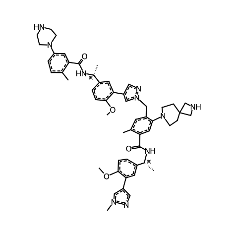 COc1ccc([C@@H](C)NC(=O)c2cc(N3CCNCC3)ccc2C)cc1-c1cnn(Cc2cc(C)c(C(=O)N[C@H](C)c3ccc(OC)c(-c4cnn(C)c4)c3)cc2N2CCC3(CC2)CNC3)c1